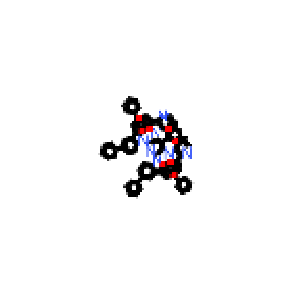 Cc1cc(C)cc(-c2c(-n3c4ccccc4c4ncccc43)c(-n3c4ccc(-c5ccccc5)cc4c4cc(-c5ccccc5)ccc43)nc(-n3c4ccc(-c5ccccc5)cc4c4cc(-c5ccccc5)ccc43)c2-n2c3ccccc3c3ncccc32)c1